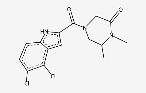 CC1CN(C(=O)c2cc3c(Cl)c(Cl)ccc3[nH]2)CC(=O)N1C